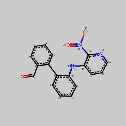 O=Cc1ccccc1-c1ccccc1Nc1cccnc1[N+](=O)[O-]